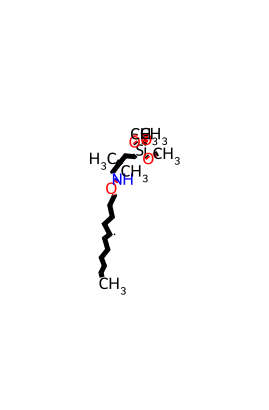 CCCCCC[CH]CCCCONCC(C)(C)CC[Si](OC)(OC)OC